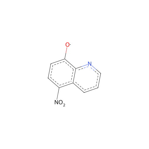 [O]c1ccc([N+](=O)[O-])c2cccnc12